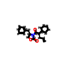 C=CC[C@@H](C(=O)N1C(=O)OC[C@H]1Cc1ccccc1)C1CCCCC1